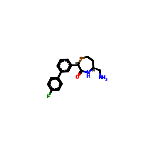 NC[C@@H]1CCS[C@H](c2cccc(-c3ccc(F)cc3)c2)C(=O)N1